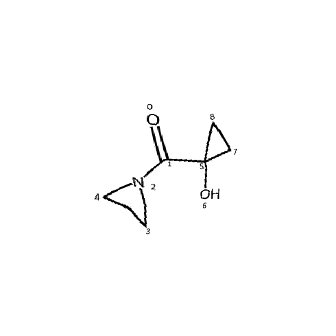 O=C(N1CC1)C1(O)CC1